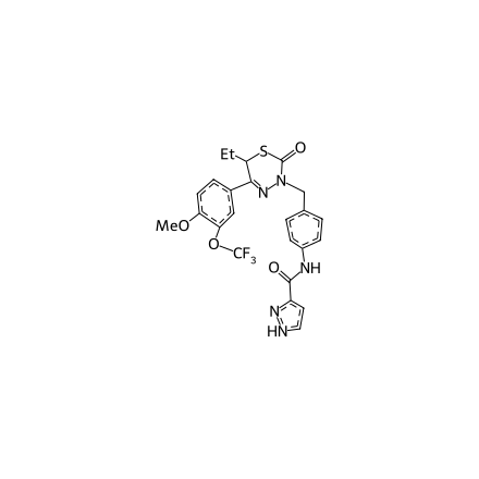 CCC1SC(=O)N(Cc2ccc(NC(=O)c3cc[nH]n3)cc2)N=C1c1ccc(OC)c(OC(F)(F)F)c1